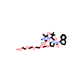 CC(C(=O)NC(C(=O)N1C[C@@H](OCCOCCOCCOCCO)C[C@H]1C(=O)N[C@@H]1CCCc2ccccc21)C(C)(C)C)N(C)C(=O)O